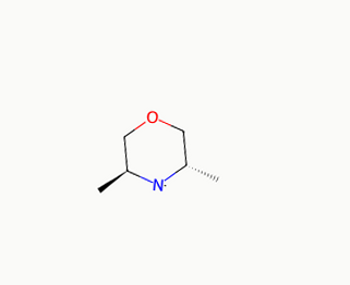 C[C@H]1COC[C@H](C)[N]1